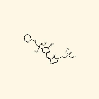 CCOP(=O)(CCN1C=CSC(=Cc2cc(C(C)(C)C)c(O)c(C(C)(C)COC3CCCCO3)c2)C1=O)OCC